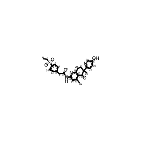 CCS(=O)(=O)c1ccc(CC(=O)Nc2cc(C)c3c(n2)CCC(C)(c2ccc(O)cn2)C3=O)cc1